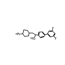 CCCC1CCC(CC(O)c2ccc(-c3cc(F)cc(F)c3)cc2)CC1